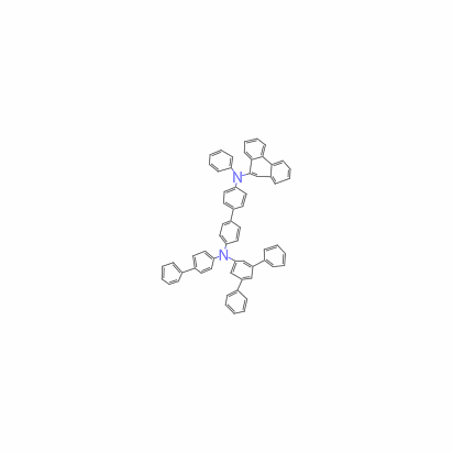 c1ccc(-c2ccc(N(c3ccc(-c4ccc(N(c5ccccc5)c5cc6ccccc6c6ccccc56)cc4)cc3)c3cc(-c4ccccc4)cc(-c4ccccc4)c3)cc2)cc1